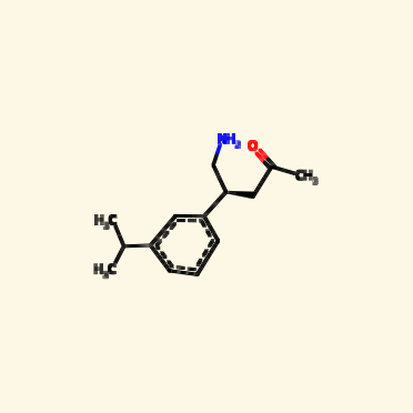 CC(=O)C[C@H](CN)c1cccc(C(C)C)c1